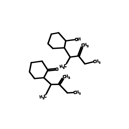 C=C(CC)C(C)C1CCCCC1=O.C=C(CC)C(C)C1CCCCC1O